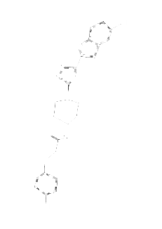 O=C(COc1ccc(Cl)cc1)N[C@H]1CC[C@H](c2nnc(-c3cc4cc(Cl)ccc4o3)o2)CC1